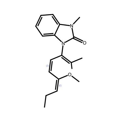 CC/C=C(\C=C/C(=C(C)C)n1c(=O)n(C)c2ccccc21)OC